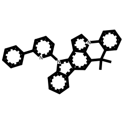 CC1(C)c2ccccc2-n2ccc3c2c1cc1c2ccccc2n(-c2cccc(-c4ccccc4)n2)c13